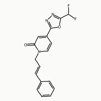 O=c1cc(-c2nnc(C(F)F)o2)ccn1CC=Cc1ccccc1